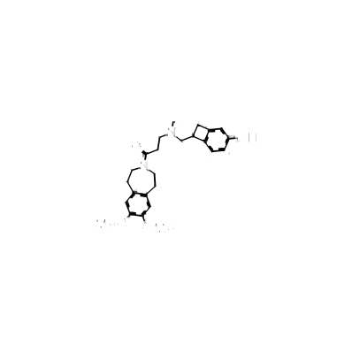 COc1cc2c(cc1OC)CCN(C(=O)CCN(C)CC1Cc3cc(O)ccc31)CC2